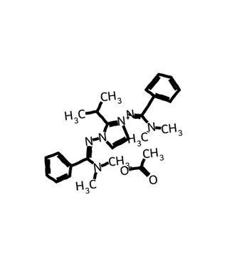 CC(=O)[O-].CC(C)c1n(N=C(c2ccccc2)N(C)C)cc[n+]1N=C(c1ccccc1)N(C)C